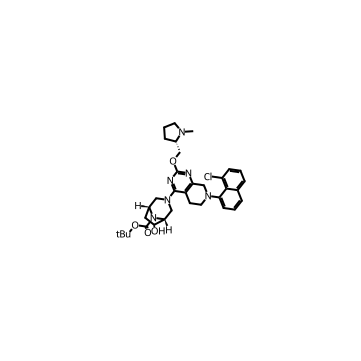 CN1CCC[C@H]1COc1nc2c(c(N3C[C@H]4C[C@@H](O)[C@@H](C3)N4C(=O)OC(C)(C)C)n1)CCN(c1cccc3cccc(Cl)c13)C2